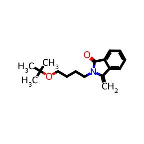 C=C1c2ccccc2C(=O)N1CCCCOC(C)(C)C